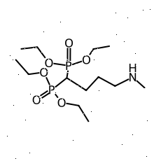 CCOP(=O)(OCC)C(CCCNC)P(=O)(OCC)OCC